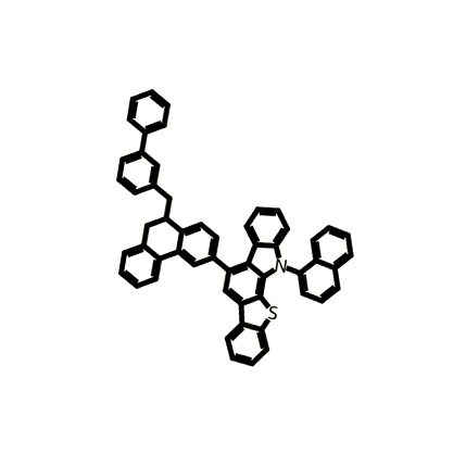 c1ccc(-c2cccc(CC3Cc4ccccc4-c4cc(-c5cc6c7ccccc7sc6c6c5c5ccccc5n6-c5cccc6ccccc56)ccc43)c2)cc1